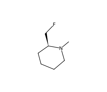 CN1CCCC[C@H]1CF